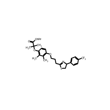 COC(=O)C(C)(C)Oc1ccc(OCCCC2=NC(c3ccc(C(F)(F)F)cc3)CS2)c(C)c1C